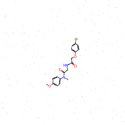 COc1ccc(N(C)C(=O)CNC(=O)COc2ccc(Br)cc2)cc1